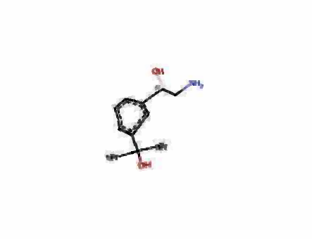 CCCC(O)(CCC)c1cccc([C@H](O)CN)c1